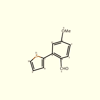 COc1ccc(C=O)c(-c2cccs2)c1